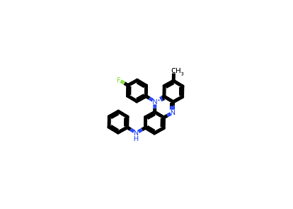 Cc1ccc2nc3ccc(Nc4ccccc4)cc3[n+](-c3ccc(F)cc3)c2c1